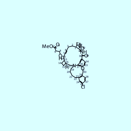 CC[C@@H]1CC/C=C/[C@H](OCCC(=O)OC)[C@@H]2CC[C@H]2CN2CCCCc3cc(Cl)ccc3COc3ccc(cc32)C(=O)NS1(=O)=O